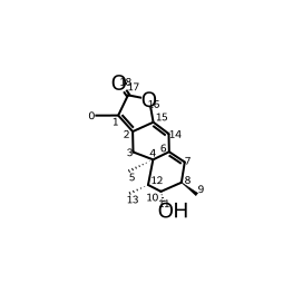 CC1=C2C[C@@]3(C)C(=C[C@@H](C)[C@H](O)[C@@H]3C)C=C2OC1=O